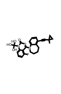 CC1(C#Cc2cccc3c2CCCCN3c2nc(=O)n(C(O)(O)O)c3cccc(F)c23)CC1